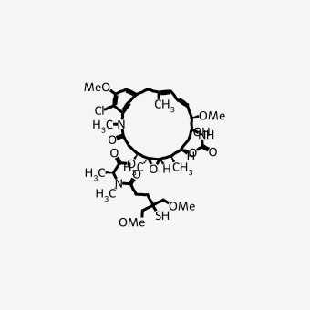 COCC(S)(CCC(=O)N(C)[C@@H](C)C(=O)O[C@H]1CC(=O)N(C)c2cc(cc(OC)c2Cl)C/C(C)=C/C=C/[C@@H](OC)[C@@]2(O)C[C@H](OC(=O)N2)[C@@H](C)[C@@H]2O[C@@]12C)COC